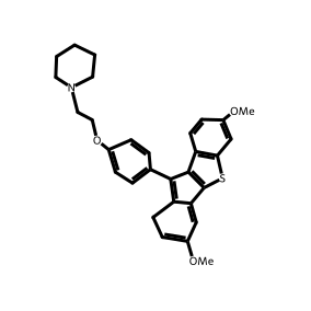 COC1=CCC2=C(c3ccc(OCCN4CCCCC4)cc3)c3c(sc4cc(OC)ccc34)C2=C1